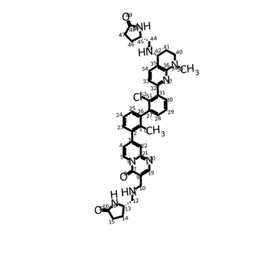 Cc1c(-c2ccn3c(=O)c(CNC[C@@H]4CCC(=O)N4)cnc3c2)cccc1-c1cccc(-c2ccc3c(n2)N(C)CC[C@H]3NC[C@@H]2CCC(=O)N2)c1Cl